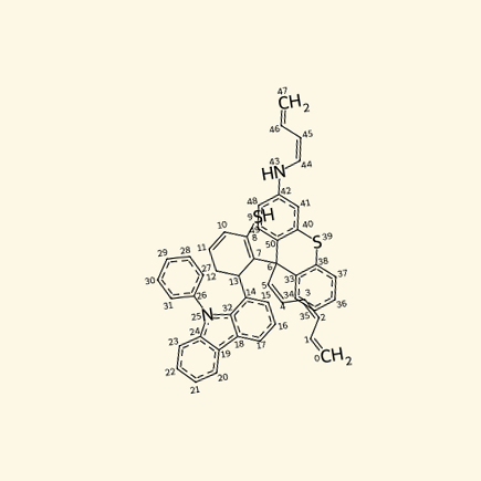 C=C/C=C\C=C/C1(C2=C(S)C=CCC2c2cccc3c4ccccc4n(-c4ccccc4)c23)c2ccccc2Sc2cc(N/C=C\C=C)ccc21